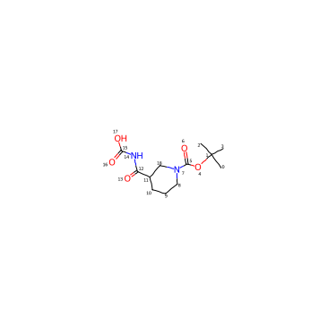 CC(C)(C)OC(=O)N1CCCC(C(=O)NC(=O)O)C1